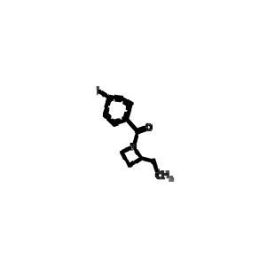 CCC1CCN1C(=O)c1ccc(I)cc1